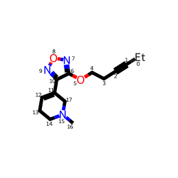 CCC#CCCOc1nonc1C1=CCCN(C)C1